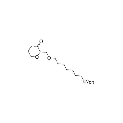 CCCCCCCCCCCCCCCCOCC1OCCCC1=O